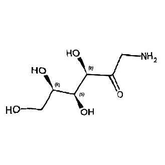 NCC(=O)[C@H](O)[C@@H](O)[C@H](O)CO